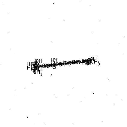 CC(=O)NC1[C@@H](O)[C@@H](O)[C@@H](CO)O[C@@H]1CCCOCCOCCNC(=O)NCCOCCOCCOCCOCCOCCOCCC(=O)OC(C)(C)C